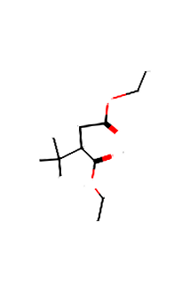 CCOC(=O)CC(C(=O)OCC)C(C)(C)C